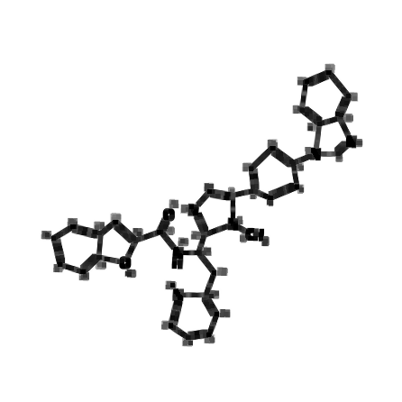 Cn1c(-c2ccc(-n3cnc4ccccc43)cc2)cnc1C(Cc1ccccn1)NC(=O)c1cc2ccccc2o1